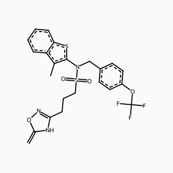 C=C1NC(CCCS(=O)(=O)N(Cc2ccc(OC(F)(F)F)cc2)c2sc3ccccc3c2C)=NO1